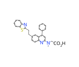 CN(CC(=O)O)c1cc(-c2ccccc2)c2cc(CCc3nc4ccccc4s3)ccc2n1